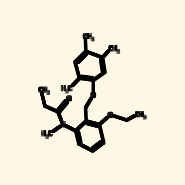 CCOc1cccc(N(C)C(=O)CC)c1COc1cc(C)c(C)cc1C